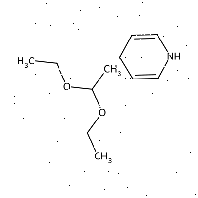 C1=CNC=CC1.CCOC(C)OCC